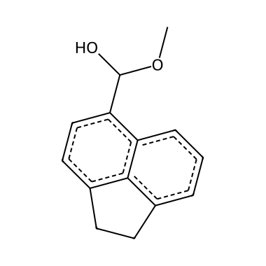 COC(O)c1ccc2c3c(cccc13)CC2